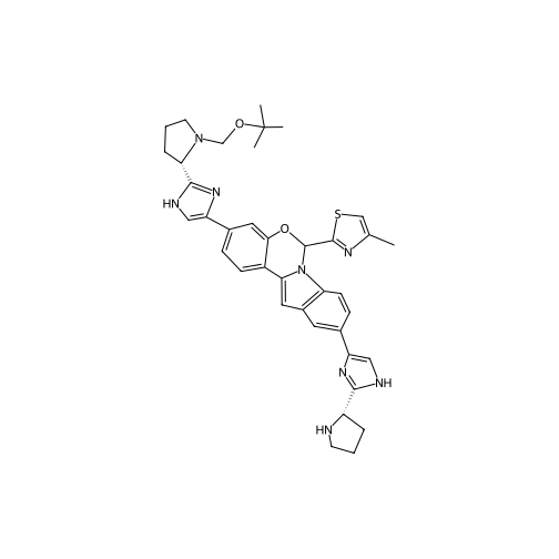 Cc1csc(C2Oc3cc(-c4c[nH]c([C@@H]5CCCN5COC(C)(C)C)n4)ccc3-c3cc4cc(-c5c[nH]c([C@@H]6CCCN6)n5)ccc4n32)n1